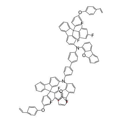 C=Cc1ccc(Oc2ccc(C3(c4c(F)cc(F)cc4F)c4ccccc4-c4ccc(N(c5ccc(-c6ccc(N(c7ccc8c(c7)C(c7ccc(Oc9ccc(C=C)cc9)cc7)(c7c(F)cc(F)cc7F)c7ccccc7-8)c7cccc8c7oc7ccccc78)cc6)cc5)c5cccc6c5oc5ccccc56)cc43)cc2)cc1